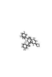 ClC1=CN2C(=NC(c3ccccn3)CC2Sc2ccccc2)C=C1